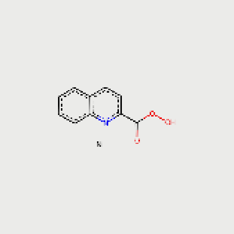 O=C(OO)c1ccc2ccccc2n1.[Ni]